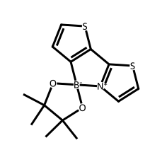 CC1(C)O[B-]2(OC1(C)C)c1ccsc1-c1scc[n+]12